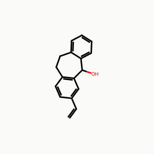 C=Cc1ccc2c(c1)C(O)c1ccccc1CC2